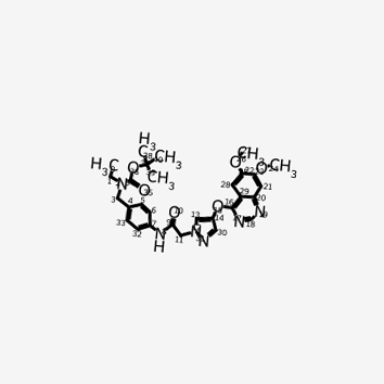 CCN(Cc1ccc(NC(=O)Cn2cc(Oc3ncnc4cc(OC)c(OC)cc34)cn2)cc1)C(=O)OC(C)(C)C